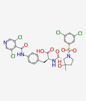 CC1(O)CCN(S(=O)(=O)c2cc(Cl)cc(Cl)c2)[C@H]1C(=O)N[C@@H](Cc1ccc(NC(=O)c2c(Cl)cncc2Cl)cc1)C(=O)O